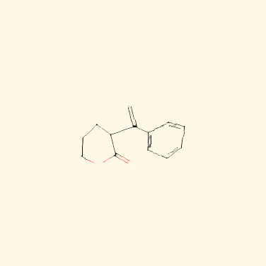 C=C(c1ccccc1)C1CCCOC1=O